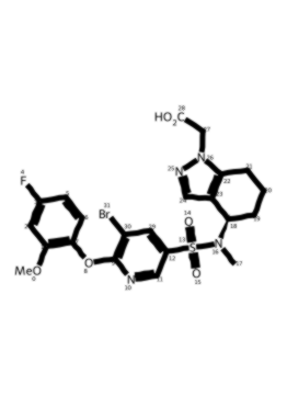 COc1cc(F)ccc1Oc1ncc(S(=O)(=O)N(C)[C@@H]2CCCc3c2cnn3CC(=O)O)cc1Br